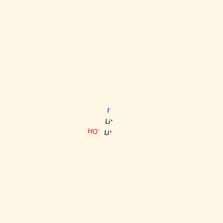 [I-].[Li+].[Li+].[OH-]